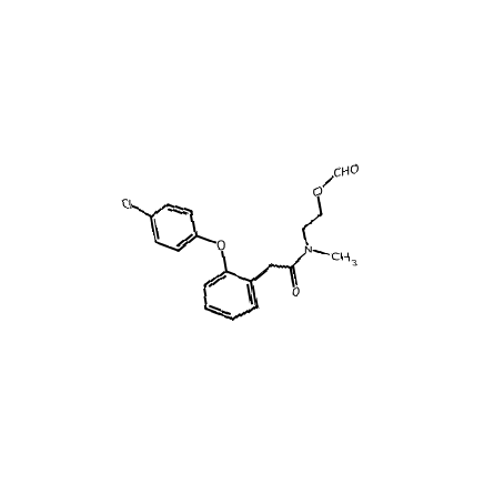 CN(CCOC=O)C(=O)Cc1ccccc1Oc1ccc(Cl)cc1